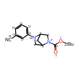 CC(C)(C)OC(=O)N1CC2CC1CN2c1cccc(C#N)c1